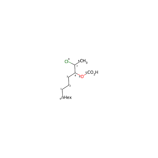 CCCCCCCCCC(OC(=O)O)C(C)Cl